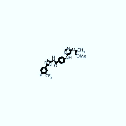 COCC(C)Oc1cc(Nc2ccc(C(=O)Nc3nc(-c4ccc(F)c(C(F)(F)F)c4)ns3)cc2)ncn1